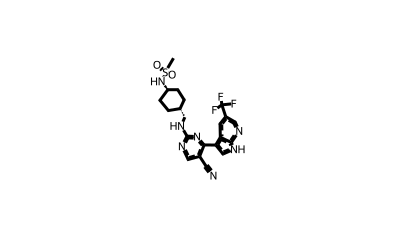 CS(=O)(=O)N[C@H]1CC[C@H](CNc2ncc(C#N)c(-c3c[nH]c4ncc(C(F)(F)F)cc34)n2)CC1